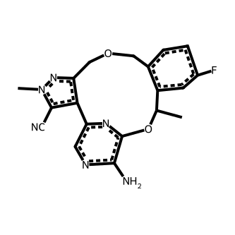 CC1Oc2nc(cnc2N)-c2c(nn(C)c2C#N)COCc2ccc(F)cc21